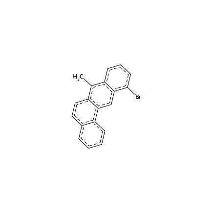 Cc1c2cccc(Br)c2cc2c1ccc1ccccc12